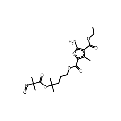 CCOC(=O)c1c(N)sc(C(=O)OCCCC(C)(C)OC(=O)C(C)(C)N=O)c1C